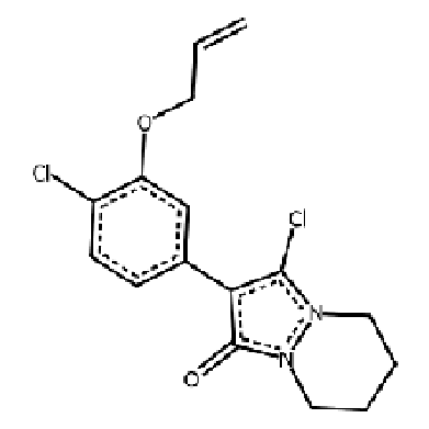 C=CCOc1cc(-c2c(Cl)n3n(c2=O)CCCC3)ccc1Cl